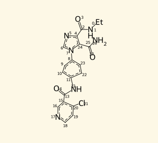 CCNC(=O)c1ncn(-c2ccc(NC(=O)c3cnccc3Cl)cc2)c1C(N)=O